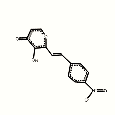 O=c1ccoc(C=Cc2ccc([N+](=O)[O-])cc2)c1O